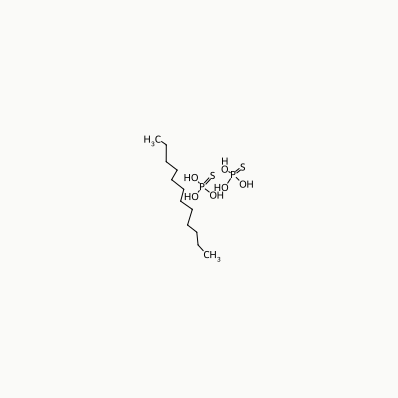 CCCCCCCCCCCC.OP(O)(O)=S.OP(O)(O)=S